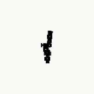 CN1CCN(c2ncc3cc(NC(=O)COc4ccc(Br)cc4)ccc3n2)CC1